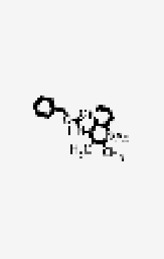 CC(=O)N1c2cccnc2C(NC(=O)OCc2ccccc2)[C@@H](C)[C@@H]1C